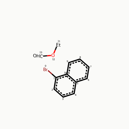 Brc1cccc2ccccc12.CCOC=O